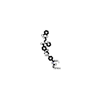 CCCCCCOC(=O)/N=C(\N)c1ccc(NCc2nc3cc(C(=O)N(CCC(=O)Oc4ccccc4Cl)c4ccccn4)ccc3n2C)cc1